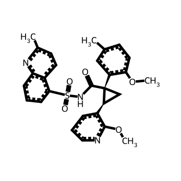 COc1ccc(C)cc1[C@@]1(C(=O)NS(=O)(=O)c2cccc3nc(C)ccc23)C[C@H]1c1cccnc1OC